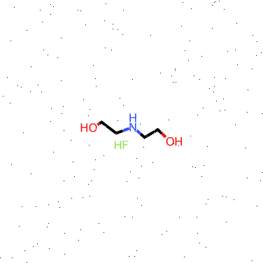 F.OCCNCCO